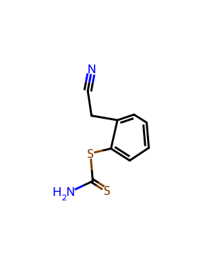 N#CCc1ccccc1SC(N)=S